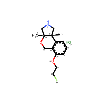 C[C@@]12CNC[C@@H]1c1cccc(OCCF)c1CO2.Cl